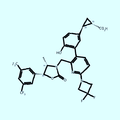 C[C@H]1[C@@H](c2cc(C(F)(F)F)cc(C(F)(F)F)c2)OC(=O)N1Cc1nc(N2CC(F)(F)C2)ccc1-c1cc([C@H]2C[C@@H]2C(=O)O)ccc1O